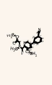 BOC(=O)CN(B)C(=O)c1ncc(-c2cccc(C#N)c2)cc1OB